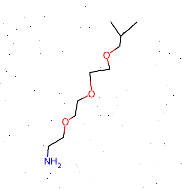 CC(C)COCCOCCOCCN